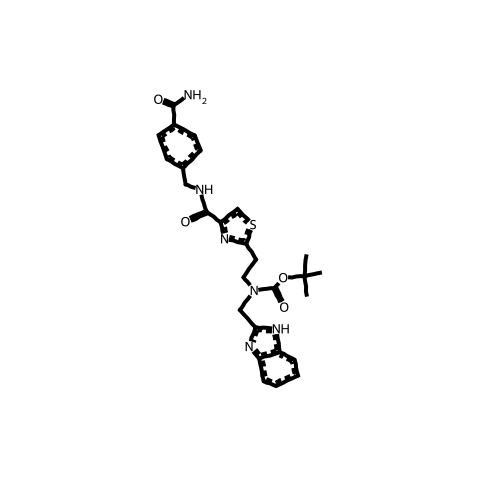 CC(C)(C)OC(=O)N(CCc1nc(C(=O)NCc2ccc(C(N)=O)cc2)cs1)Cc1nc2ccccc2[nH]1